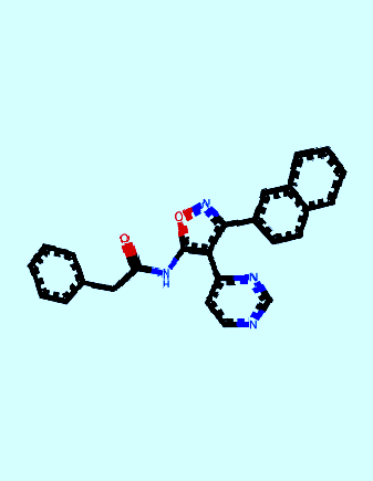 O=C(Cc1ccccc1)Nc1onc(-c2ccc3ccccc3c2)c1-c1ccncn1